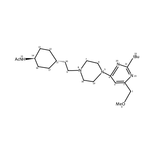 COCc1cc(N2CCN(CC[C@H]3CC[C@H](NC(C)=O)CC3)CC2)nc(C(C)(C)C)n1